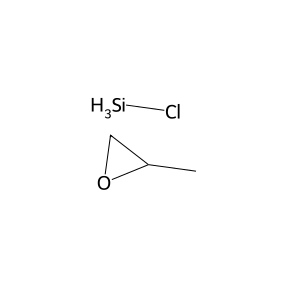 CC1CO1.[SiH3]Cl